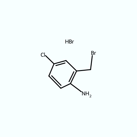 Br.Nc1ccc(Cl)cc1CBr